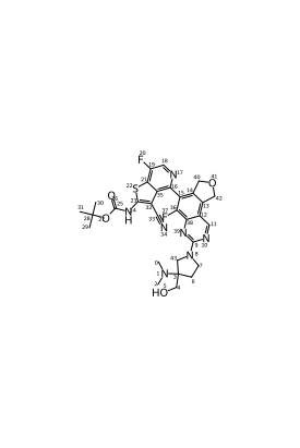 CN(C)C1(CO)CCN(c2ncc3c4c(c(-c5ncc(F)c6sc(NC(=O)OC(C)(C)C)c(C#N)c56)c(F)c3n2)COC4)C1